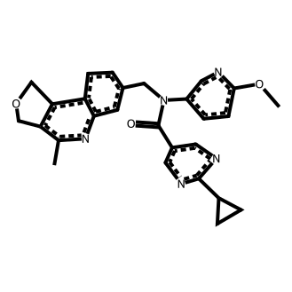 COc1ccc(N(Cc2ccc3c4c(c(C)nc3c2)COC4)C(=O)c2cnc(C3CC3)nc2)cn1